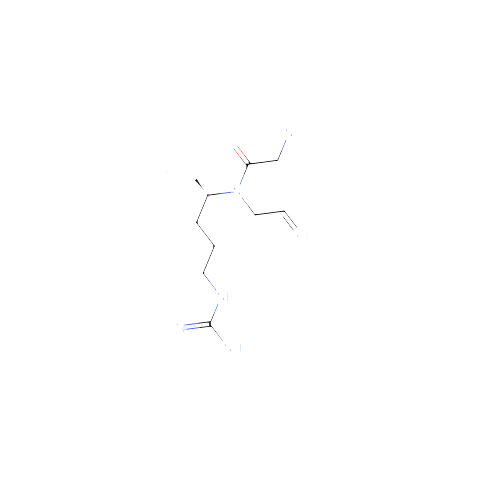 C=CCN(C(=O)CN)[C@H](C=O)CCCNC(=N)N